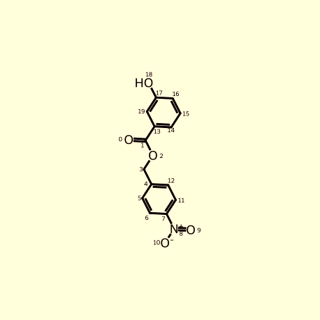 O=C(OCc1ccc([N+](=O)[O-])cc1)c1cccc(O)c1